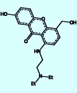 CCN(CC)CCNc1ccc(CO)c2oc3ccc(O)cc3c(=O)c12